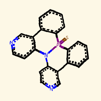 S=P12c3ccccc3-c3cnccc3N1c1ccncc1-c1ccccc12